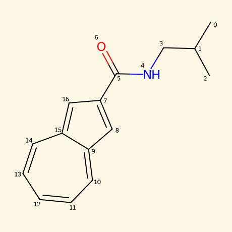 CC(C)CNC(=O)c1cc2cccccc-2c1